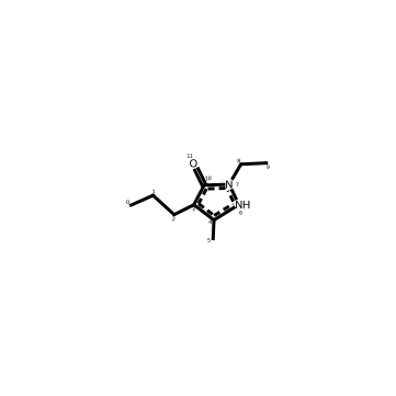 CCCc1c(C)[nH]n(CC)c1=O